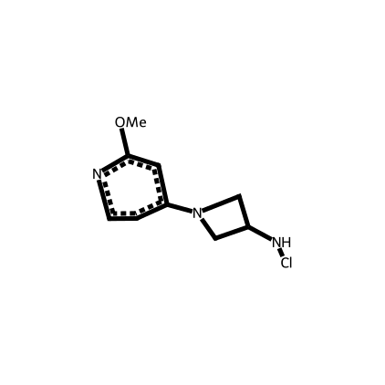 COc1cc(N2CC(NCl)C2)ccn1